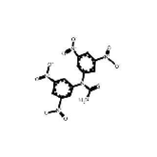 NC(=S)N(c1cc([N+](=O)[O-])cc([N+](=O)[O-])c1)c1cc([N+](=O)[O-])cc([N+](=O)[O-])c1